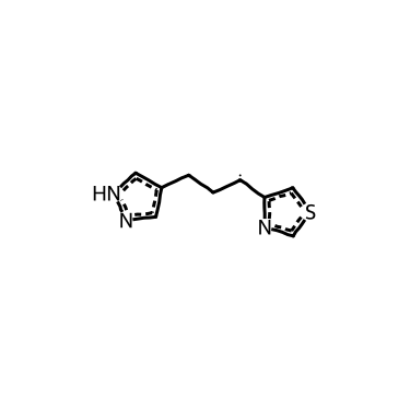 [CH](CCc1cn[nH]c1)c1cscn1